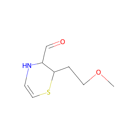 COCCC1SC=CNC1C=O